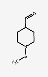 CSN1CCC(C=O)CC1